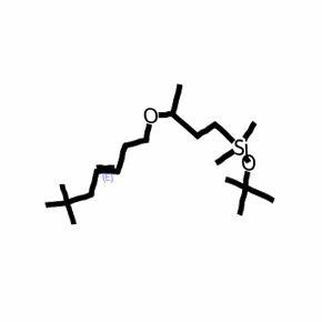 CC(CC[Si](C)(C)OC(C)(C)C)OCC/C=C/CC(C)(C)C